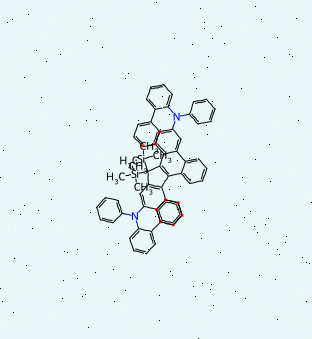 C[Si](C)(C)C1([Si](C)(C)C)c2cc(N(c3ccccc3)c3ccccc3-c3ccccc3)c3ccccc3c2-c2c1c1ccc(N(c3ccccc3)c3ccccc3-c3ccccc3)cc1c1ccccc21